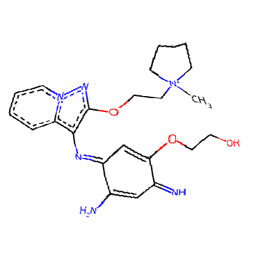 C[N+]1(CCOc2nn3ccccc3c2/N=C2\C=C(OCCO)C(=N)C=C2N)CCCC1